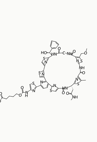 CNC(=O)C[C@@H]1NC(=O)c2csc(n2)-c2ccc(-c3nc(NC(=O)OCCCCC(=O)O)cs3)nc2-c2csc(n2)-c2csc(n2)[C@H]([C@@H](O)c2ccccc2)NC(=O)CNC(=O)c2nc(sc2COC)NC(=O)c2nc1sc2C